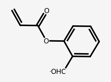 C=CC(=O)Oc1ccccc1[C]=O